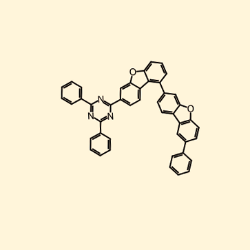 c1ccc(-c2ccc3oc4cc(-c5cccc6oc7cc(-c8nc(-c9ccccc9)nc(-c9ccccc9)n8)ccc7c56)ccc4c3c2)cc1